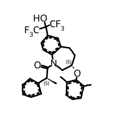 Cc1cccc(C)c1O[C@H]1CCc2cc(C(O)(C(F)(F)F)C(F)(F)F)ccc2N(C(=O)[C@@H](C)c2ccccc2)C1